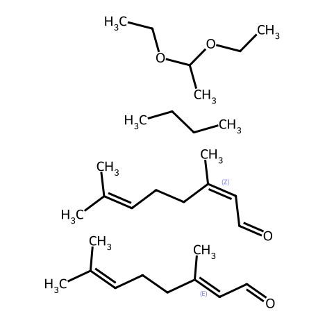 CC(C)=CCC/C(C)=C/C=O.CC(C)=CCC/C(C)=C\C=O.CCCC.CCOC(C)OCC